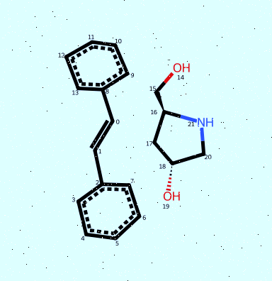 C(=Cc1ccccc1)c1ccccc1.OC[C@@H]1C[C@@H](O)CN1